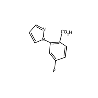 O=C(O)c1ccc(F)cc1-n1cccn1